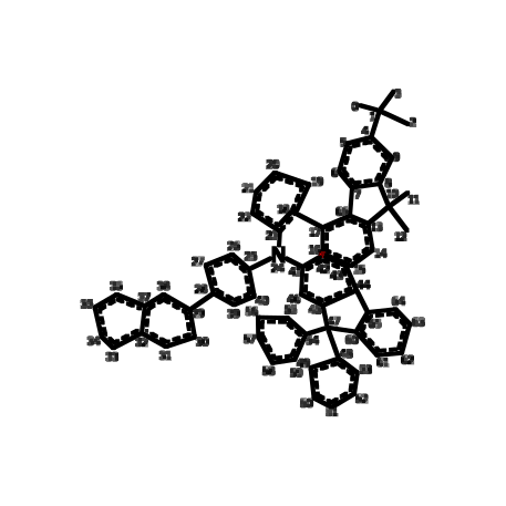 CC(C)(C)c1ccc2c(c1)C(C)(C)c1cccc(-c3ccccc3N(c3ccc(-c4ccc5ccccc5c4)cc3)c3ccc4c(c3)C(c3ccccc3)(c3ccccc3)c3ccccc3-4)c1-2